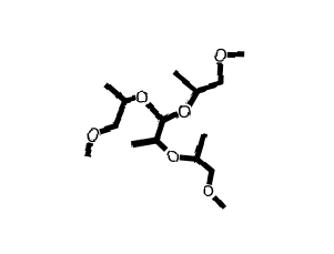 COCC(C)OC(C)C(OC(C)COC)OC(C)COC